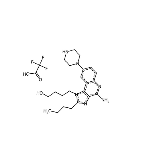 CCCCc1nc2c(N)nc3ccc(N4CCNCC4)cc3c2n1CCCCO.O=C(O)C(F)(F)F